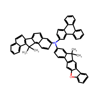 CC1(C)c2cc(N(c3ccc4c5c(ccc4c3)-c3ccc4ccccc4c3C5(C)C)c3ccc4c5ccccc5c5ccccc5c4c3)ccc2-c2cc3oc4ccccc4c3cc21